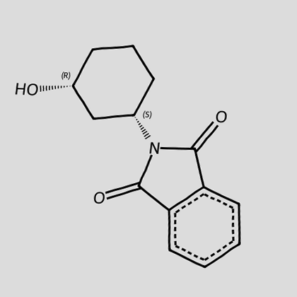 O=C1c2ccccc2C(=O)N1[C@H]1CCC[C@@H](O)C1